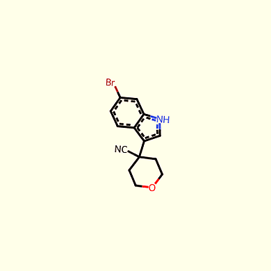 N#CC1(c2c[nH]c3cc(Br)ccc23)CCOCC1